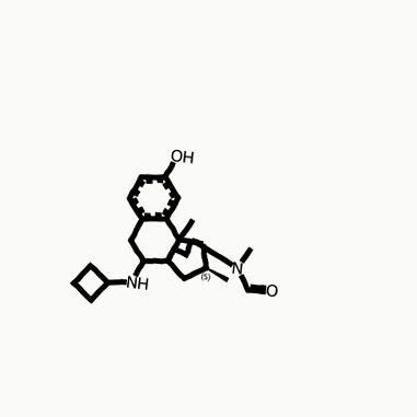 C[C@H]1CC23CCC(N(C)C=O)C1C2(C)c1cc(O)ccc1CC3NC1CCC1